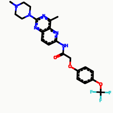 Cc1nc(N2CCN(C)CC2)nc2ccc(NC(=O)COc3ccc(OC(F)(F)F)cc3)nc12